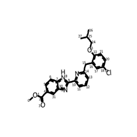 COC(=O)c1ccc2[nH]c(-c3cccc(Cc4cc(Cl)ccc4OCC(C)C)n3)nc2c1